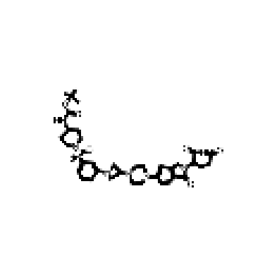 CC(C)(C)OC(=O)NC1CCN(S(=O)(=O)c2cccc(N3CC(N4CCN(c5ccc6c(c5)CN(C5CCC(=O)NC5=O)C6=O)CC4)C3)c2)CC1